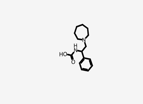 O=C(O)NC(CN1CCCCCC1)c1ccccc1